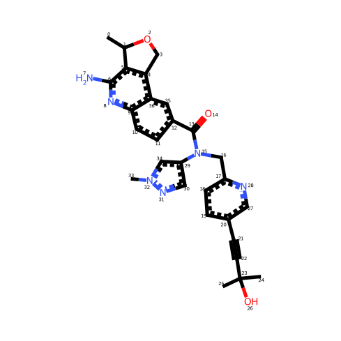 CC1OCc2c1c(N)nc1ccc(C(=O)N(Cc3ccc(C#CC(C)(C)O)cn3)c3cnn(C)c3)cc21